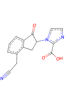 N#CCc1cccc2c1CC(n1ccnc1C(=O)O)C2=O